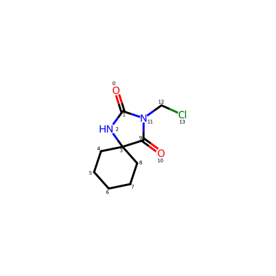 O=C1NC2(CCCCC2)C(=O)N1CCl